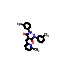 Cc1cccc(C=C(C(=O)Nc2cccc(C(F)(F)F)c2)C(=O)Nc2cccc(C(F)(F)F)c2)n1